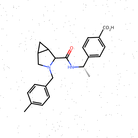 Cc1ccc(CN2CC3CC3C2C(=O)N[C@@H](C)c2ccc(C(=O)O)cc2)cc1